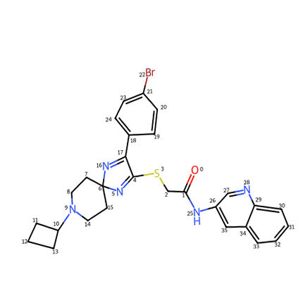 O=C(CSC1=NC2(CCN(C3CCC3)CC2)N=C1c1ccc(Br)cc1)Nc1cnc2ccccc2c1